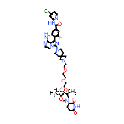 C=C1CN(C2CCC(=O)NC2=O)COC(C)C1(C)OCCOCCOCCN1CC2(CCN(c3nc(-c4ccc(C(=O)Nc5cc(Cl)ccn5)cc4F)c4c(N)nccn34)CC2)C1